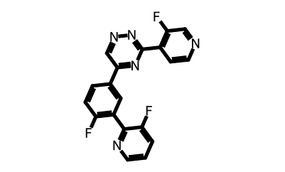 Fc1cnccc1-c1nncc(-c2ccc(F)c(-c3ncccc3F)c2)n1